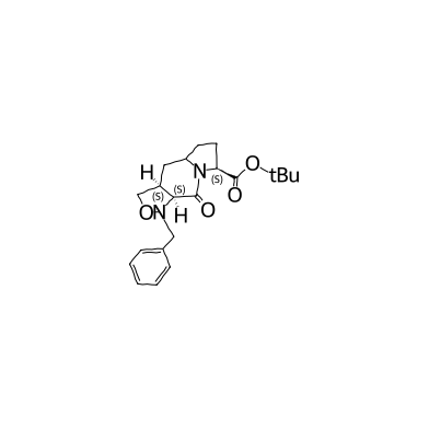 CC(C)(C)OC(=O)[C@@H]1CCC2C[C@@H]3CON(Cc4ccccc4)[C@@H]3C(=O)N21